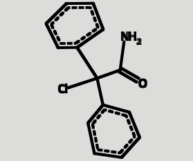 NC(=O)C(Cl)(c1ccccc1)c1ccccc1